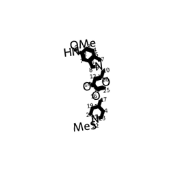 CONc1ccc2c(c1)CN(Cc1cc(=O)c(OCC3CCN(SC)CC3)co1)C2